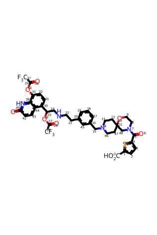 O=C(O)c1ccc(C(=O)N2CCOC3(CCN(Cc4cccc(CCNCC(OC(=O)C(F)(F)F)c5ccc(OC(=O)C(F)(F)F)c6[nH]c(=O)ccc56)c4)CC3)C2)s1